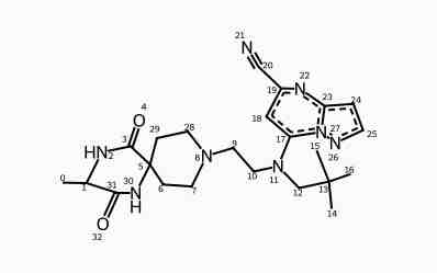 CC1NC(=O)C2(CCN(CCN(CC(C)(C)C)c3cc(C#N)nc4ccnn34)CC2)NC1=O